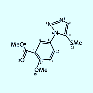 COC(=O)c1cc(-n2nncc2SC)ccc1OC